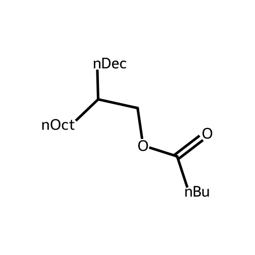 CCCCCCCCCCC(CCCCCCCC)COC(=O)CCCC